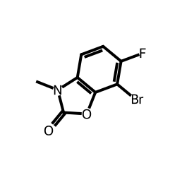 Cn1c(=O)oc2c(Br)c(F)ccc21